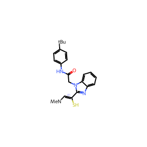 CN/C=C(\S)c1nc2ccccc2n1CC(=O)Nc1ccc(C(C)(C)C)cc1